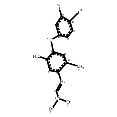 CCN(/C=N/c1cc(C)c(Oc2ccc(I)c(I)c2)cc1C)CC